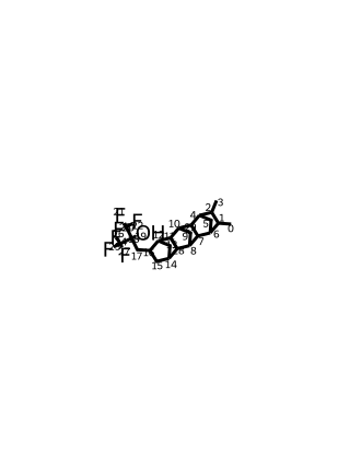 CC1C(C)C2CC1C1C3CC(C4C5CC(CC5CC(O)(C(F)(F)F)C(F)(F)F)C34)C21